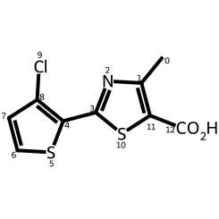 Cc1nc(-c2sccc2Cl)sc1C(=O)O